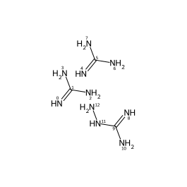 N=C(N)N.N=C(N)N.N=C(N)NN